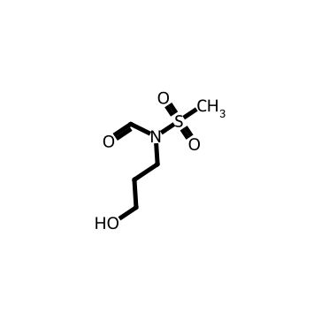 CS(=O)(=O)N(C=O)CCCO